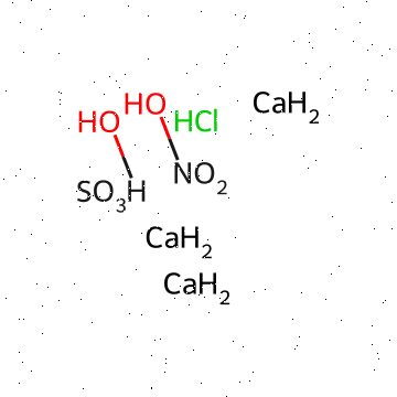 Cl.O=S(=O)(O)O.O=[N+]([O-])O.[CaH2].[CaH2].[CaH2]